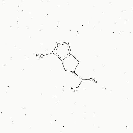 CC(C)N1Cc2cnn(C)c2C1